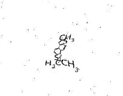 Cc1cc2c(ccc3c4cc(C(C)C)sc4ccc23)s1